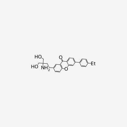 CCc1ccc(-c2ccc3c(=O)c4cc(CCC(N)(CO)CO)ccc4oc3c2)cc1